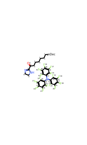 CCCCCCCCCCCCCCCCC(=O)C1=NCCN1.Fc1c(F)c(F)c(N(c2c(F)c(F)c(F)c(F)c2F)c2c(F)c(F)c(F)c(F)c2F)c(F)c1F